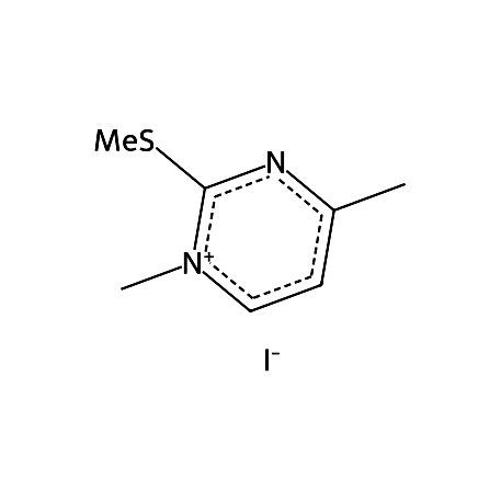 CSc1nc(C)cc[n+]1C.[I-]